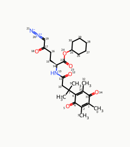 CC1=C(C)C(=O)C(C(C)(C)CC(=O)N[C@@H](CCC(=O)C=[N+]=[N-])C(=O)OC2CCCCC2)=C(C)C1=O